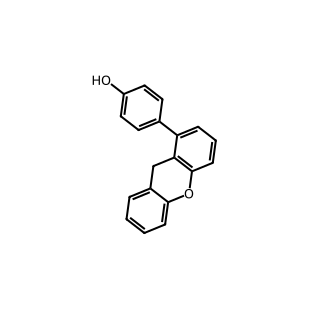 Oc1ccc(-c2cccc3c2Cc2ccccc2O3)cc1